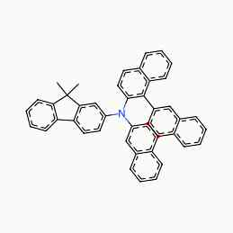 CC1(C)c2ccccc2-c2ccc(N(c3ccc4ccccc4c3)c3ccc4ccccc4c3-c3ccc4ccccc4c3)cc21